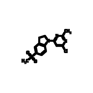 Cc1nc(Cl)cc(N2CCc3cc(S(C)(=O)=O)ccc32)n1